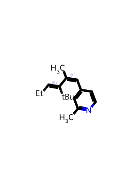 CC/C=C(/C(C)=C\c1ccnc(C)c1)C(C)(C)C